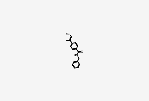 C/C(=C\C(C)(C)C)c1ccc(C(=O)NCc2ccccc2)cc1